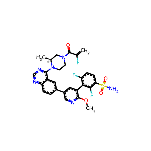 C=C(F)C(=O)N1CCN(c2ncnc3ccc(-c4cnc(OC)c(-c5c(F)ccc(S(N)(=O)=O)c5F)c4)cc23)[C@@H](C)C1